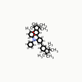 CC1(C)CC(C)(C)c2cc(-c3ccc(-c4ccc5c(c4)C(C)(C)CC5(C)C)c(N(c4ccccc4)c4ccccc4)c3)ccc21